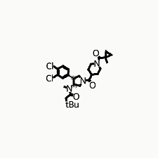 CN(C(=O)CC(C)(C)C)[C@H]1CN(C(=O)C2CCN(C(=O)C3(C)CC3)CC2)C[C@@H]1c1ccc(Cl)c(Cl)c1